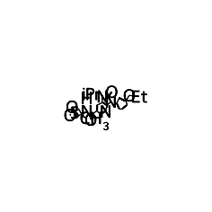 CCOc1cccc(-n2c(=O)n(C(C)C)c3cc(C(=O)NC4(C)CS(=O)(=O)C4)cnc32)c1